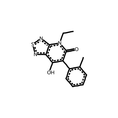 CCn1c(=O)c(-c2ccccc2C)c(O)c2nsnc21